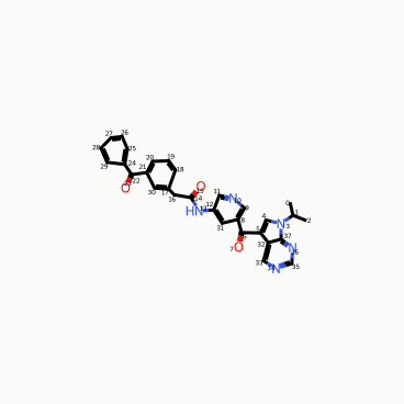 CC(C)n1cc(C(=O)c2cncc(NC(=O)Cc3cccc(C(=O)c4ccccc4)c3)c2)c2cncnc21